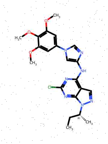 CC[C@@H](C)n1ncc2c(Nc3cn(-c4cc(OC)c(OC)c(OC)c4)cn3)nc(Cl)nc21